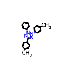 Cc1ccc(-c2nn(-c3ccccc3)[n+](-c3ccc(C)cc3)n2)cc1